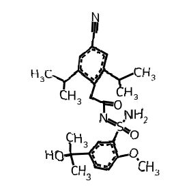 COc1ccc(C(C)(C)O)cc1S(N)(=O)=NC(=O)Cc1c(C(C)C)cc(C#N)cc1C(C)C